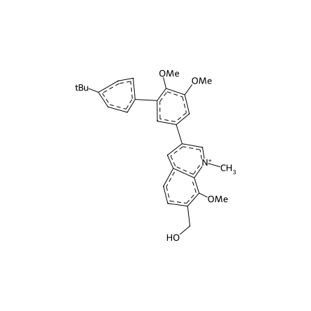 COc1cc(-c2cc3ccc(CO)c(OC)c3[n+](C)c2)cc(-c2ccc(C(C)(C)C)cc2)c1OC